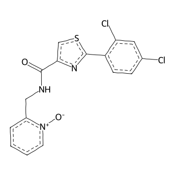 O=C(NCc1cccc[n+]1[O-])c1csc(-c2ccc(Cl)cc2Cl)n1